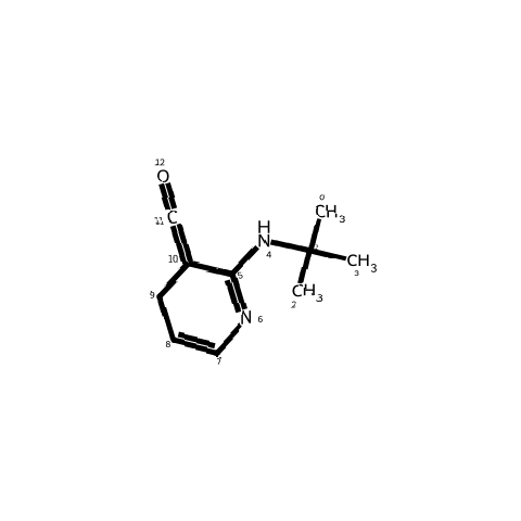 CC(C)(C)NC1=NC=CCC1=C=O